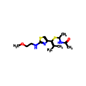 COCCNc1nc(C(SC(C)NC(C)=O)=C(C)C)cs1